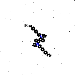 C=C(C)CC(=C)c1ccc(-c2ccc(-c3ccc(N(c4ccc(C)cc4C)c4cc5c6ccccc6c(N(c6ccc(-c7ccc(-c8ccc(C(=C)CC(C)(C)C)cc8)cc7)cc6)c6ccc(C)cc6C)cc5c5ccccc45)cc3)cc2)cc1